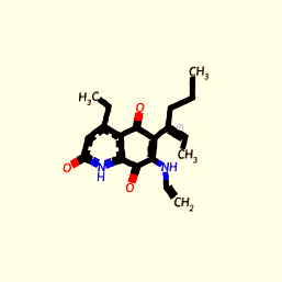 C=CNC1=C(/C(=C\C)CCC)C(=O)c2c(CC)cc(=O)[nH]c2C1=O